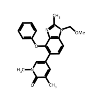 COCn1c(C)nc2c(Oc3ccccc3)c(-c3cc(C)c(=O)n(C)c3)ccc21